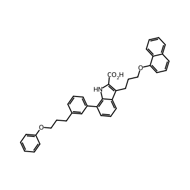 O=C(O)c1[nH]c2c(-c3cccc(CCCOc4ccccc4)c3)cccc2c1CCCOc1cccc2ccccc12